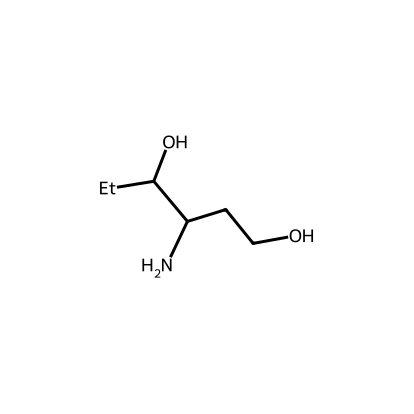 CCC(O)C(N)CCO